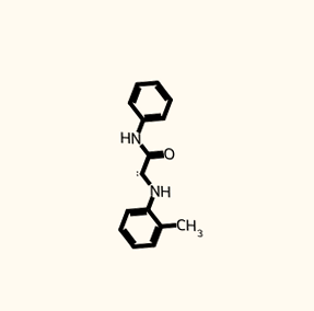 Cc1ccccc1N[C]C(=O)Nc1ccccc1